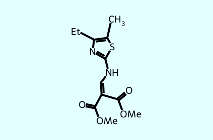 CCc1nc(NC=C(C(=O)OC)C(=O)OC)sc1C